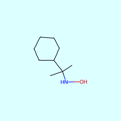 CC(C)(NO)C1CCCCC1